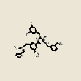 CCc1cccc(CNC[C@H](O)[C@H](Cc2cc(F)cc(F)c2)NC(=O)c2cc(C)cc(CN(C)Cc3ccco3)c2)c1.Cl